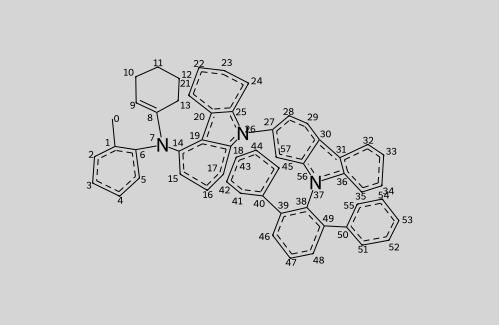 Cc1ccccc1N(C1=CCCCC1)c1cccc2c1c1ccccc1n2-c1ccc2c3ccccc3n(-c3c(-c4ccccc4)cccc3-c3ccccc3)c2c1